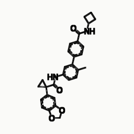 Cc1ccc(NC(=O)C2(c3ccc4c(c3)OCO4)CC2)cc1-c1ccc(C(=O)NC2CCC2)cc1